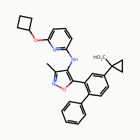 Cc1noc(-c2cc(C3(C(=O)O)CC3)ccc2-c2ccccc2)c1Nc1cccc(OC2CCC2)n1